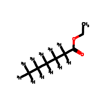 [2H]C([2H])([2H])C([2H])([2H])C([2H])([2H])C([2H])([2H])C([2H])([2H])C(=O)OCC